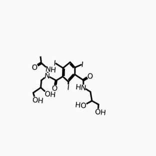 CC(=O)NN(CC(O)CO)C(=O)c1c(I)cc(I)c(C(=O)NCC(O)CO)c1I